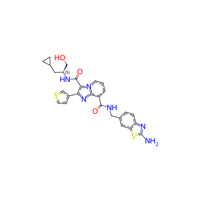 Nc1nc2ccc(CNC(=O)c3cccn4c(C(=O)N[C@H](CO)CC5CC5)c(-c5ccsc5)nc34)cc2s1